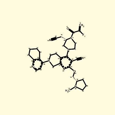 C=C(F)C(=O)N1CCN(c2c(C#N)c(OC[C@@H]3CCCN3C)nc3c2CCN(c2ccnc4c2CCCC4)C3)C[C@@H]1CC#N